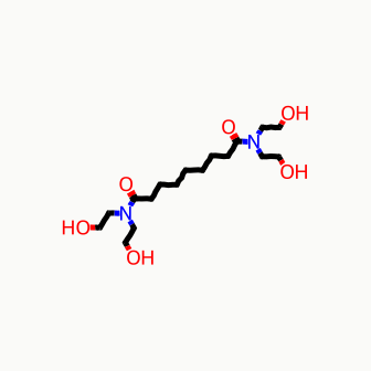 O=C(CCCCCCCC(=O)N(CCO)CCO)N(CCO)CCO